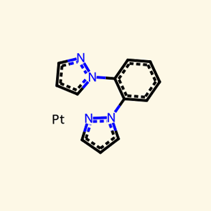 [Pt].c1ccc(-n2cccn2)c(-n2cccn2)c1